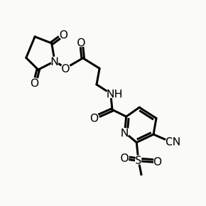 CS(=O)(=O)c1nc(C(=O)NCCC(=O)ON2C(=O)CCC2=O)ccc1C#N